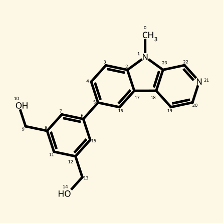 Cn1c2ccc(-c3cc(CO)cc(CO)c3)cc2c2ccncc21